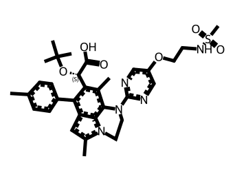 Cc1ccc(-c2c([C@H](OC(C)(C)C)C(=O)O)c(C)c3c4c2cc(C)n4CCN3c2ncc(OCCNS(C)(=O)=O)cn2)cc1